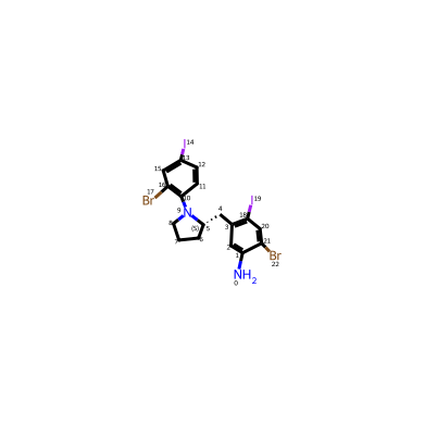 Nc1cc(C[C@@H]2CCCN2c2ccc(I)cc2Br)c(I)cc1Br